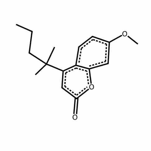 CCCC(C)(C)c1cc(=O)oc2cc(OC)ccc12